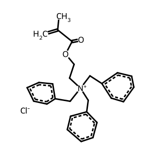 C=C(C)C(=O)OCC[N+](Cc1ccccc1)(Cc1ccccc1)Cc1ccccc1.[Cl-]